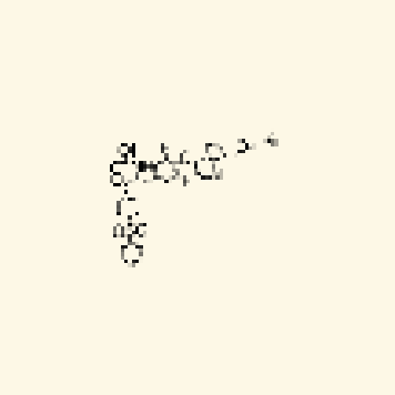 C[Si](C)(C)CCOCn1ccc2c(Oc3c(F)cc(C[C@H](NC(=O)O)C(=O)N4CCC(S(=O)(=O)c5ccccc5)CC4)cc3F)ccnc21